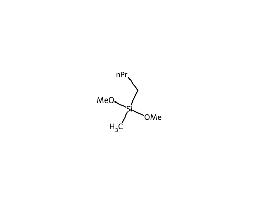 [CH2]CCC[Si](C)(OC)OC